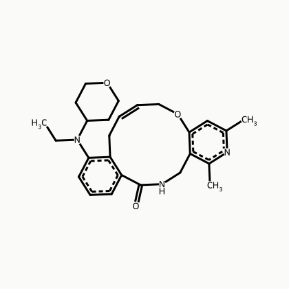 CCN(c1cccc2c1C/C=C\COc1cc(C)nc(C)c1CNC2=O)C1CCOCC1